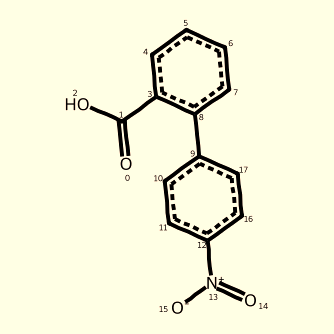 O=C(O)c1ccccc1-c1ccc([N+](=O)[O-])cc1